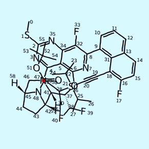 CSc1nc2c3c(nc(-c4cccc5ccc(F)c(C#C[Si](C(C)C)(C(C)C)C(C)C)c45)c(F)c3n1)O[C@H](C(F)F)[C@@H]1[C@@H]3CC[C@H](CN21)N3C(=O)OC(C)(C)C